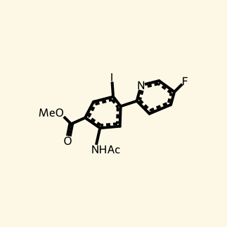 COC(=O)c1cc(I)c(-c2ccc(F)cn2)cc1NC(C)=O